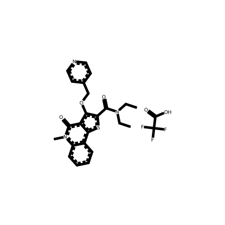 CCN(CC)C(=O)c1sc2c(c1OCc1ccncc1)c(=O)n(C)c1ccccc21.O=C(O)C(F)(F)F